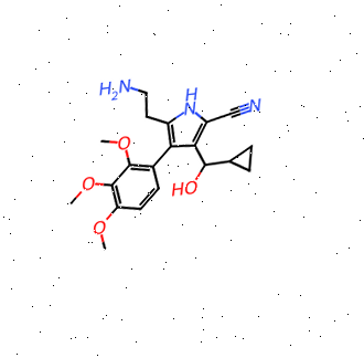 COc1ccc(-c2c(CCN)[nH]c(C#N)c2C(O)C2CC2)c(OC)c1OC